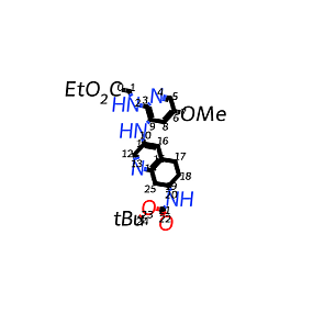 CCOC(=O)CNc1ncc(OC)cc1Nc1cnc2c(c1)CCC(NC(=O)OC(C)(C)C)C2